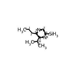 CCCc1ncc([SiH3])nc1C(C)C